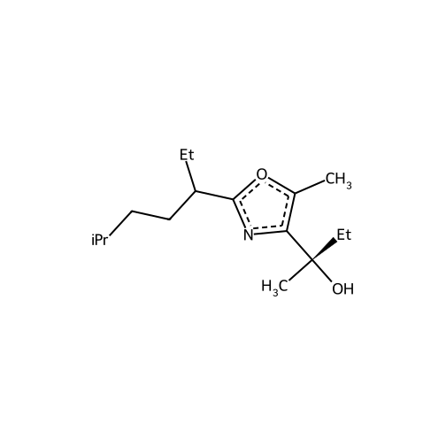 CCC(CCC(C)C)c1nc([C@@](C)(O)CC)c(C)o1